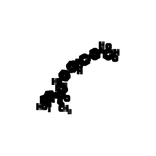 C=CCn1c(=O)c2cnc(Nc3ccc(N4CCN(CC5(O)CCN(c6ccc(NC7CCC(=O)NC7=O)cc6)CC5)CC4)cc3)nc2n1-c1ccc2c(n1)[C@@](O)(CI)CC2